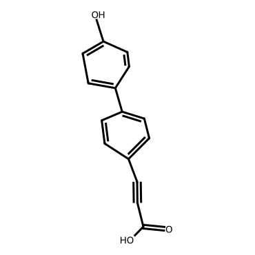 O=C(O)C#Cc1ccc(-c2ccc(O)cc2)cc1